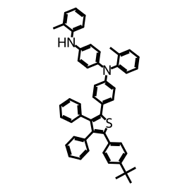 Cc1ccccc1Nc1ccc(N(c2ccc(-c3sc(-c4ccc(C(C)(C)C)cc4)c(-c4ccccc4)c3-c3ccccc3)cc2)c2ccccc2C)cc1